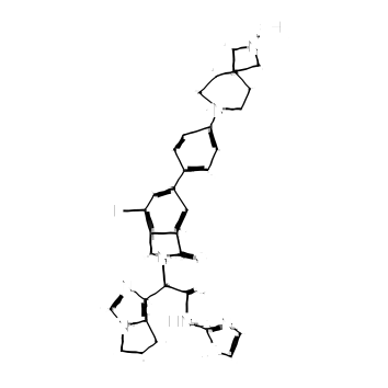 CN1CC2(CCN(c3ccc(-c4cc(F)c5c(c4)C(=O)N(C(C(=O)Nc4nccs4)c4ncn6c4CCC6)C5)cc3)CC2)C1